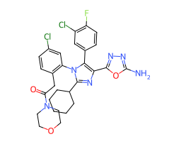 Nc1nnc(-c2nc(C3CCCCC3)n(-c3cc(Cl)ccc3CC(=O)N3CCOCC3)c2-c2ccc(F)c(Cl)c2)o1